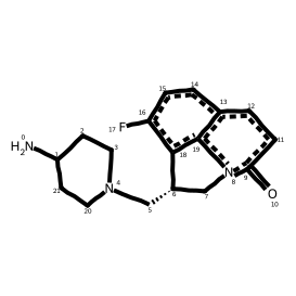 NC1CCN(C[C@H]2Cn3c(=O)ccc4ccc(F)c2c43)CC1